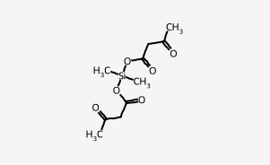 CC(=O)CC(=O)O[Si](C)(C)OC(=O)CC(C)=O